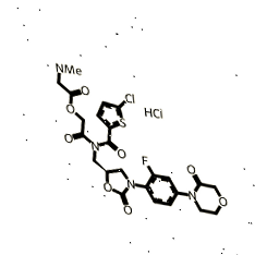 CNCC(=O)OCC(=O)N(C[C@H]1CN(c2ccc(N3CCOCC3=O)cc2F)C(=O)O1)C(=O)c1ccc(Cl)s1.Cl